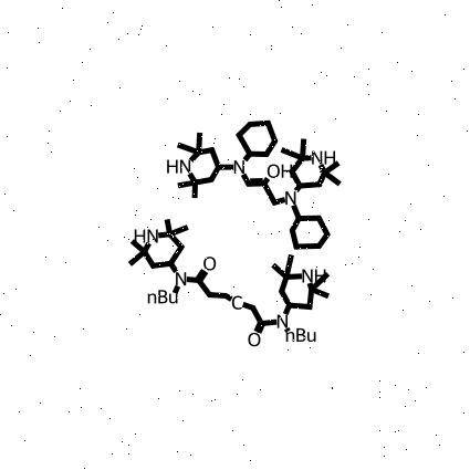 CC1(C)CC(N(C=C(O)CN(C2CCCCC2)C2CC(C)(C)NC(C)(C)C2)C2CCCCC2)CC(C)(C)N1.CCCCN(C(=O)CCCCC(=O)N(CCCC)C1CC(C)(C)NC(C)(C)C1)C1CC(C)(C)NC(C)(C)C1